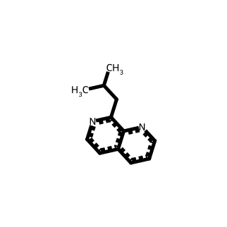 CC(C)Cc1nccc2cccnc12